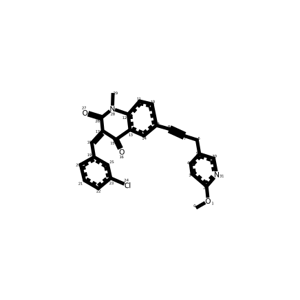 COc1ccc(CC#Cc2ccc3c(c2)C(=O)/C(=C\c2cccc(Cl)c2)C(=O)N3C)cn1